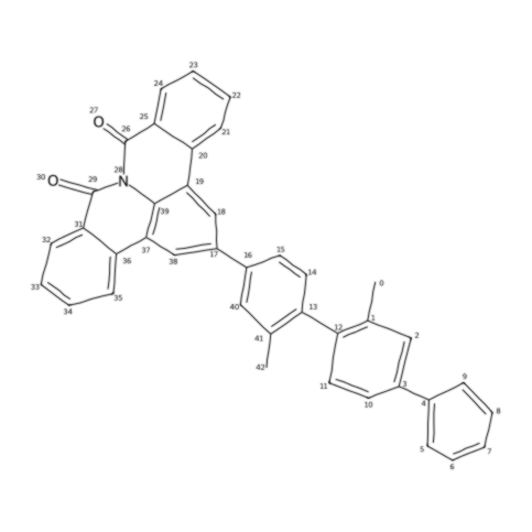 Cc1cc(-c2ccccc2)ccc1-c1ccc(-c2cc3c4ccccc4c(=O)n4c(=O)c5ccccc5c(c2)c34)cc1C